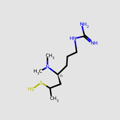 CC(C[C@H](CCCNC(=N)N)N(C)C)SS